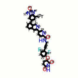 CC(C)c1cc(-c2cccc3cc(-c4ccc(C(=O)NCC#Cc5c(F)ccc(OC6CCC(=O)NC6=O)c5F)nc4)ncc23)cc2c1n(C)c(=O)n2C